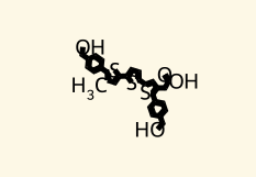 Cc1cc(-c2ccc(-c3cc(CC(=O)O)c(-c4ccc(CO)cc4)s3)s2)sc1-c1ccc(CO)cc1